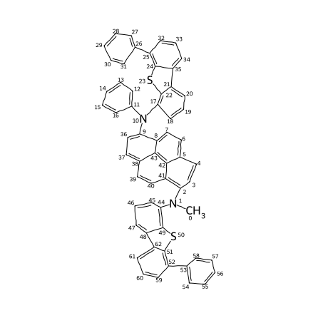 CN(c1ccc2ccc3c(N(c4ccccc4)c4cccc5c4sc4c(-c6ccccc6)cccc45)ccc4ccc1c2c43)c1cccc2c1sc1c(-c3ccccc3)cccc12